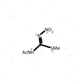 CS/C(=N\[N+](=O)[O-])NC(C)=O